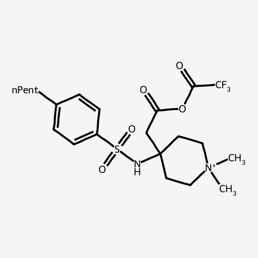 CCCCCc1ccc(S(=O)(=O)NC2(CC(=O)OC(=O)C(F)(F)F)CC[N+](C)(C)CC2)cc1